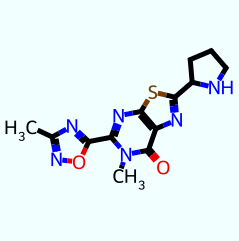 Cc1noc(-c2nc3sc(C4CCCN4)nc3c(=O)n2C)n1